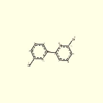 Clc1cccc(-c2cccc(Br)n2)n1